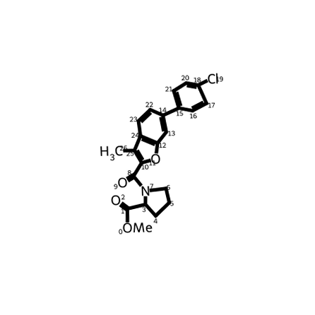 COC(=O)C1CCCN1C(=O)c1oc2cc(-c3ccc(Cl)cc3)ccc2c1C